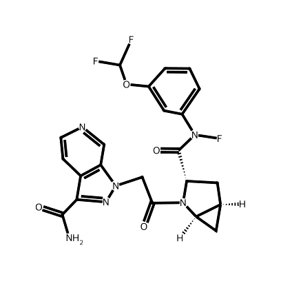 NC(=O)c1nn(CC(=O)N2[C@@H]3C[C@@H]3C[C@H]2C(=O)N(F)c2cccc(OC(F)F)c2)c2cnccc12